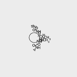 CC(C)(C)OC(=O)N[C@H]1CCCCCCCCC[C@@H](C(=O)C(=O)NC2CC2)NC(=O)[C@@H]2[C@@H]3[C@H](CN2C1=O)C3(C)C